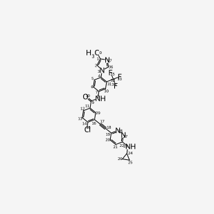 Cc1cn(-c2ccc(NC(=O)c3ccc(Cl)c(C#Cc4ccc(NC5CC5)nn4)c3)cc2C(F)(F)F)cn1